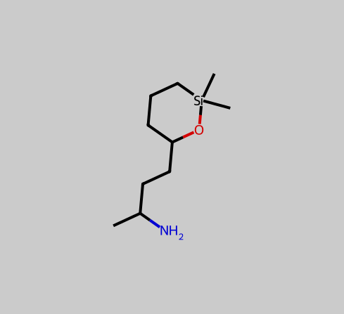 CC(N)CCC1CCC[Si](C)(C)O1